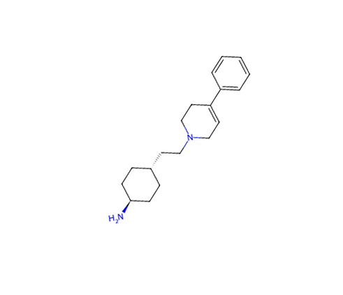 N[C@H]1CC[C@H](CCN2CC=C(c3ccccc3)CC2)CC1